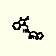 CCCC(Cc1ccco1)NCn1c(=S)sc2ccccc21